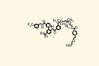 CCN(CC)c1ccc(NC(=O)c2cccc(CC(C)(C)OCCC(C)(C)OCCOC(=O)N3CCN(CCOCCO)CC3)c2)c(-c2cc(C(=O)NCc3cccc(C(F)(F)F)c3)ccn2)c1